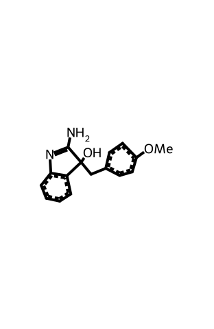 COc1ccc(CC2(O)C(N)=Nc3ccccc32)cc1